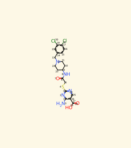 Nc1nc(SCC(=O)NC2CCN(Cc3ccc(Cl)c(Cl)c3)CC2)ncc1C(=O)O